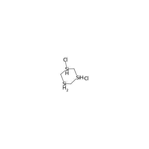 Cl[SiH]1C[SiH2]C[SiH](Cl)C1